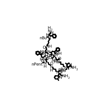 CCCCCC(=O)N[C@@H](CCC(=O)NCCCCn1c(CCCC)nc2c(N)nc3c(c21)C=CCC3C)C(=O)NC(Cc1c[nH]c2ccccc12)C(=O)N[C@@H](CCC(=O)NCCCCn1c(CCCC)nc2c(N)nc3ccccc3c21)C(=O)NC(Cc1c[nH]c2ccccc12)C(=O)N[C@@H](CCC(=O)NCCCCn1c(CCCC)nc2c(N)ncc(C)c21)C(N)=O